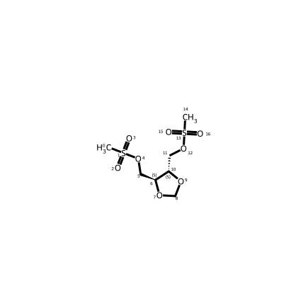 CS(=O)(=O)OC[C@@H]1OCO[C@H]1COS(C)(=O)=O